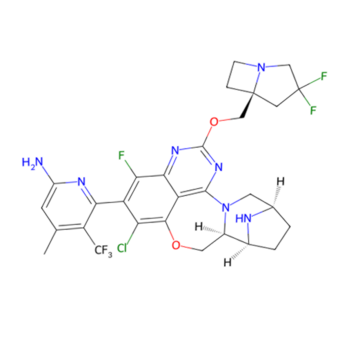 Cc1cc(N)nc(-c2c(Cl)c3c4c(nc(OC[C@@]56CCN5CC(F)(F)C6)nc4c2F)N2C[C@H]4CC[C@H](N4)[C@H]2CO3)c1C(F)(F)F